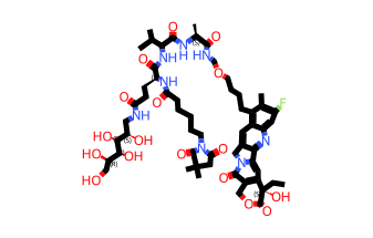 CC[C@@]1(O)C(=O)OCc2c1cc1n(c2=O)Cc2cc3c(CCCCOCNC(=O)[C@H](C)NC(=O)C(NC(=O)[C@H](CCC(=O)NC[C@H](O)[C@@H](O)[C@H](O)[C@H](O)CO)NC(=O)CCCCCN4C(=O)CC(C)(C)C4=O)C(C)C)c(C)c(F)cc3nc2-1